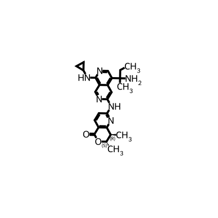 CCC(C)(N)c1cnc(NC2CC2)c2cnc(Nc3ccc4c(n3)[C@@H](C)[C@H](C)OC4=O)cc12